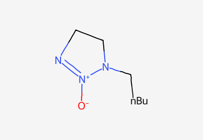 CCCCCN1CCN=[N+]1[O-]